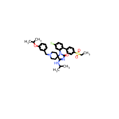 CCS(=O)(=O)c1ccc(-c2ccc(F)cc2N2C(=O)N=C(NC(C)C)C23CCN(Cc2cccc(OC(C)C)c2)CC3)cc1